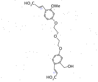 COc1cc(OCCOCCOc2ccc(/C=C/C(=O)O)c(CO)c2)ccc1/C=C/C(=O)O